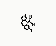 CCc1ccc2c(c1)C(=C(C#N)C#N)c1cc(C)ccc1C=C2